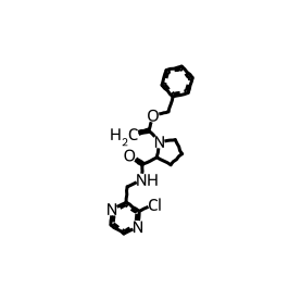 C=C(OCc1ccccc1)N1CCCC1C(=O)NCc1nccnc1Cl